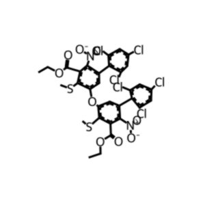 CCOC(=O)c1c(SC)c(Oc2cc(-c3c(Cl)cc(Cl)cc3Cl)c([N+](=O)[O-])c(C(=O)OCC)c2SC)cc(-c2c(Cl)cc(Cl)cc2Cl)c1[N+](=O)[O-]